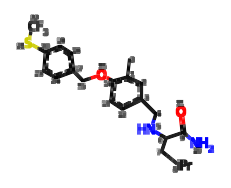 Cc1cc(CNC(CC(C)C)C(N)=O)ccc1OCc1ccc(SC(F)(F)F)cc1